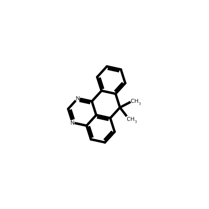 CC1(C)c2ccccc2-c2ncnc3cccc1c23